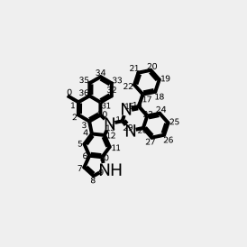 Cc1cc2c3cc4cc[nH]c4cc3n(-c3nc(-c4ccccc4)c4ccccc4n3)c2c2ccccc12